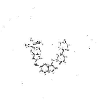 CC(C)(Cn1cc(Nc2ncc3cnn(Cc4cccc(N5CCOCC5)c4)c3n2)cn1)C(N)=O